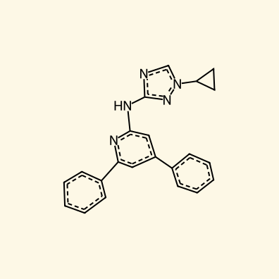 c1ccc(-c2cc(Nc3ncn(C4CC4)n3)nc(-c3ccccc3)c2)cc1